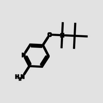 CC(C)(C)[Si](C)(C)Oc1ccc(N)nc1